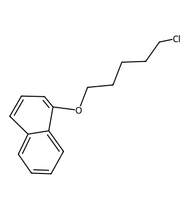 ClCCCCCOc1cccc2ccccc12